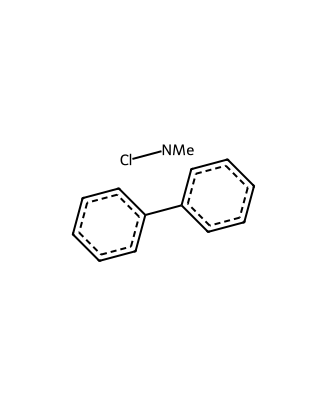 CNCl.c1ccc(-c2ccccc2)cc1